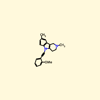 COc1ccccc1C#Cn1c2c(c3cc(C)ccc31)CN(C)CC2